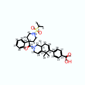 CC(C)S(=O)(=O)N1CCC(C(=O)N2CC=C3C(C)(C)C(c4ccc(C(=O)O)cc4)=CC[C@]3(C)C2)(c2ccccc2)CC1